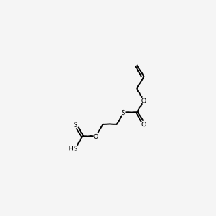 C=CCOC(=O)SCCOC(=S)S